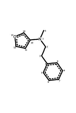 CN(CCc1ccccc1)c1ccoc1